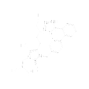 CCCCCc1c(C)n(CC(C)C)c(=O)n1Cc1ccc(-c2ccccc2-c2nnn[nH]2)nc1